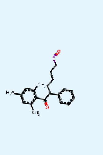 Cc1cc(C)c(C(=O)C(CCCCP=O)c2ccccc2)c(C)c1